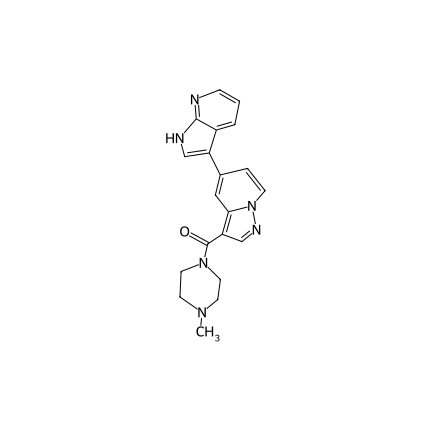 CN1CCN(C(=O)c2cnn3ccc(-c4c[nH]c5ncccc45)cc23)CC1